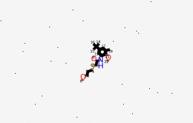 COCCCSCC(=O)Nc1cc(C(C)(C)C)cc(C)c1OC